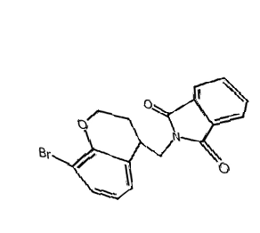 O=C1c2ccccc2C(=O)N1CC1CCOc2c(Br)cccc21